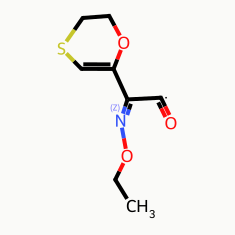 CCO/N=C(\[C]=O)C1=CSCCO1